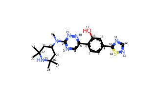 CN(c1ncc(-c2ccc(-c3ncns3)cc2O)nn1)C1CC(C)(C)NC(C)(C)C1